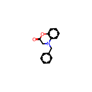 O=C1CN(Cc2ccccc2)c2ccccc2O1